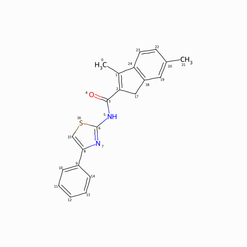 CC1=C(C(=O)Nc2nc(-c3ccccc3)cs2)Cc2cc(C)ccc21